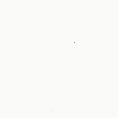 COc1ccc(Cc2cc(-c3ccccc3CBr)no2)cc1